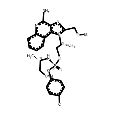 CCOCc1nc2c(N)nc3ccccc3c2n1[C@H](C)CO[P@@](=O)(N[C@@H](C)COC)Oc1ccc(Cl)cc1